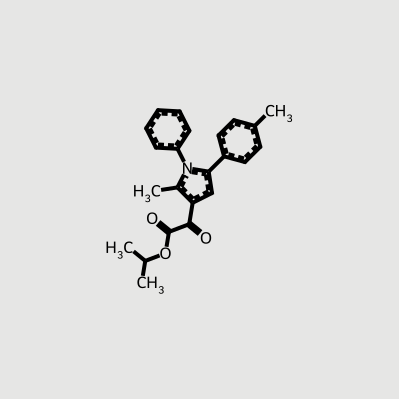 Cc1ccc(-c2cc(C(=O)C(=O)OC(C)C)c(C)n2-c2ccccc2)cc1